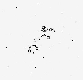 C=CC(=O)OCC=C(Cl)[SiH](C)C